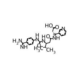 CC(C)C(CC(=O)N[C@H](CC(=O)O)c1cccnc1)NC(=O)Nc1ccc(C(=N)N)cc1